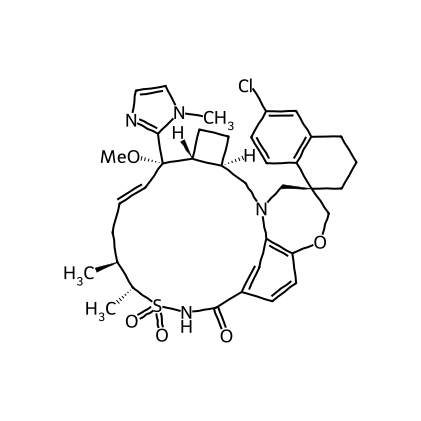 CO[C@@]1(c2nccn2C)/C=C/C[C@H](C)[C@@H](C)S(=O)(=O)NC(=O)c2ccc3c(c2)N(C[C@@H]2CC[C@H]21)C[C@@]1(CCCc2cc(Cl)ccc21)CO3